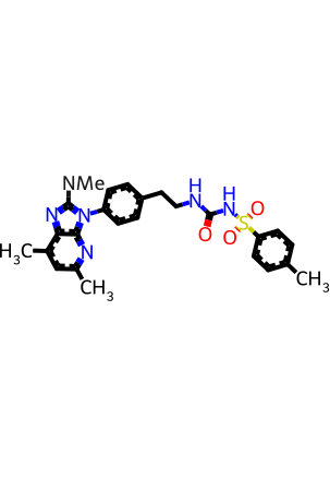 CNc1nc2c(C)cc(C)nc2n1-c1ccc(CCNC(=O)NS(=O)(=O)c2ccc(C)cc2)cc1